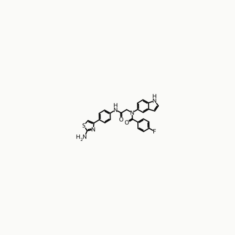 Nc1nc(-c2ccc(NC(=O)CN(C(=O)c3ccc(F)cc3)c3ccc4[nH]ccc4c3)cc2)cs1